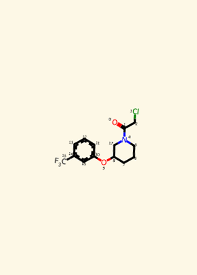 O=C(CCl)N1CCCC(Oc2cccc(C(F)(F)F)c2)C1